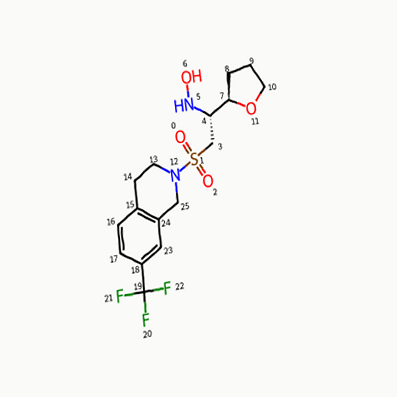 O=S(=O)(C[C@H](NO)[C@H]1CCCO1)N1CCc2ccc(C(F)(F)F)cc2C1